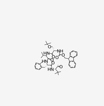 Cc1ccccc1C[C@H](NC(=O)[C@H](NC(=O)[C@H](COC(C)(C)C)NC(=O)OCC1c2ccccc2-c2ccccc21)C(C)C)C(=O)N[C@H]([C]=O)C(C)(C)C